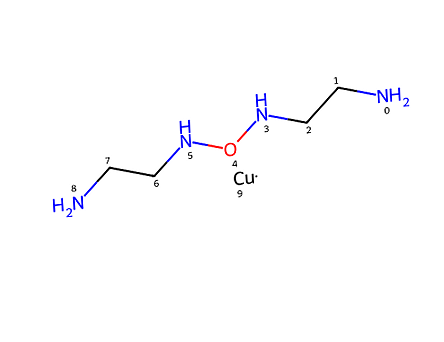 NCCNONCCN.[Cu]